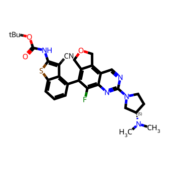 CN(C)[C@H]1CCN(c2ncc3c4c(c(-c5cccc6sc(NC(=O)OC(C)(C)C)c(C#N)c56)c(F)c3n2)COC4)C1